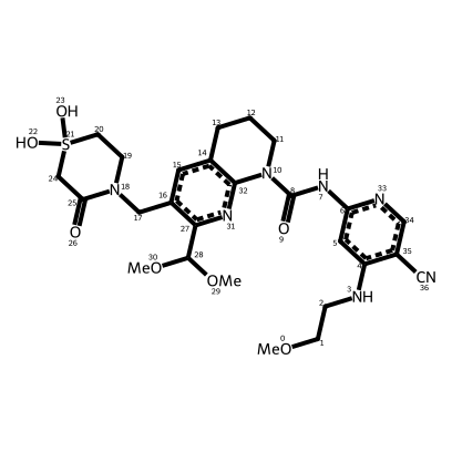 COCCNc1cc(NC(=O)N2CCCc3cc(CN4CCS(O)(O)CC4=O)c(C(OC)OC)nc32)ncc1C#N